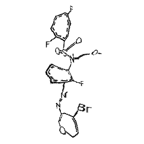 COCN(c1cccc(N=NC2=COCC=C2Br)c1F)S(=O)(=O)c1cc(F)ccc1F